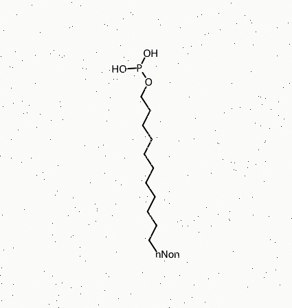 CCCCCCCCCCCCCCCCCCCCOP(O)O